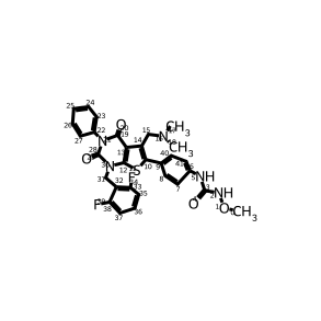 CONC(=O)Nc1ccc(-c2sc3c(c2CN(C)C)c(=O)n(-c2ccccc2)c(=O)n3Cc2c(F)cccc2F)cc1